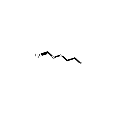 C=COSCCF